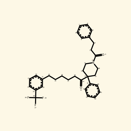 O=C(CCc1ccccc1)N1CCC(C(=O)CCCCCc2cccc(C(F)(F)F)c2)(c2ccccc2)CC1